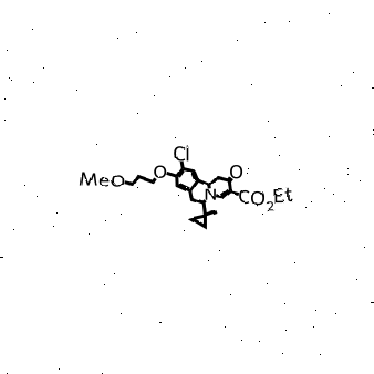 CCOC(=O)C1=CN2C(CC1=O)c1cc(Cl)c(OCCCOC)cc1CC2C1(C)CC1